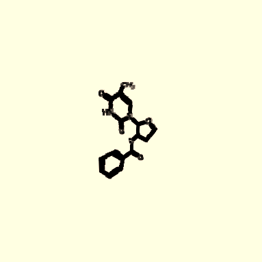 Cc1cn(C2OCCC2OC(=O)c2ccccc2)c(=O)[nH]c1=O